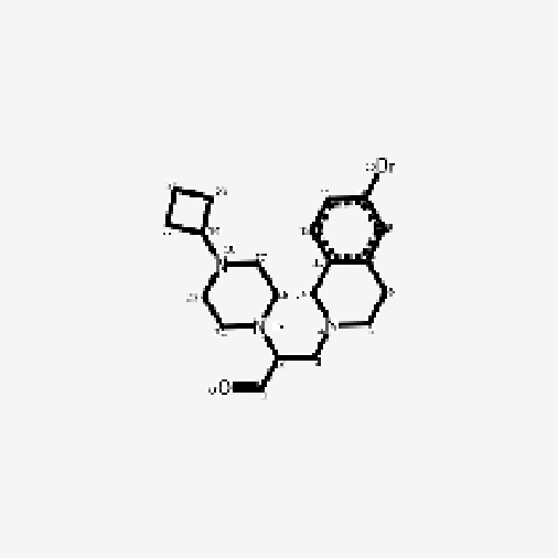 O=CC(CN1CCc2cc(Br)ccc2C1)N1CCN(C2CCC2)CC1